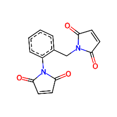 O=C1C=CC(=O)N1Cc1ccccc1N1C(=O)C=CC1=O